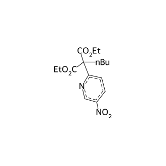 CCCCC(C(=O)OCC)(C(=O)OCC)c1ccc([N+](=O)[O-])cn1